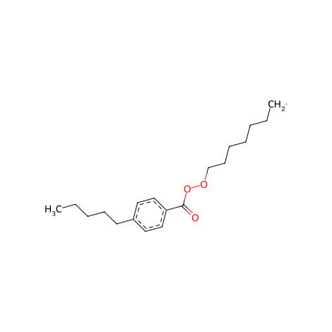 [CH2]CCCCCCOOC(=O)c1ccc(CCCCC)cc1